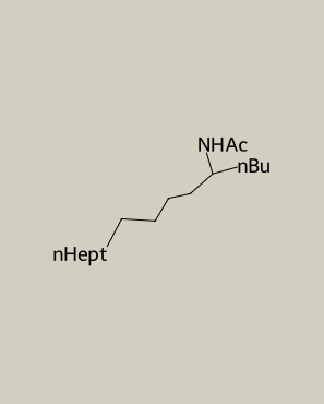 CCCCCCCCCCCC(CCCC)NC(C)=O